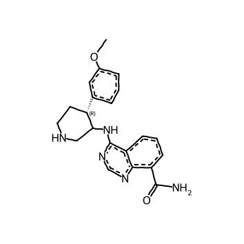 COc1cccc([C@H]2CCNCC2Nc2ncnc3c(C(N)=O)cccc23)c1